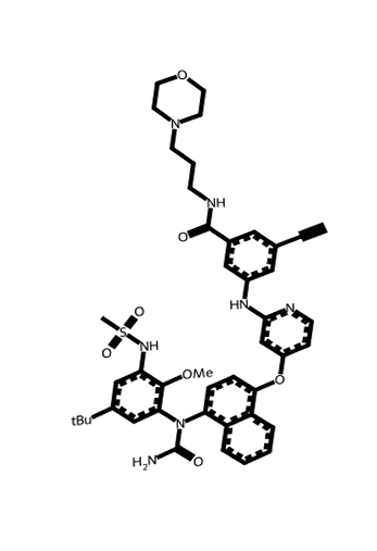 C#Cc1cc(Nc2cc(Oc3ccc(N(C(N)=O)c4cc(C(C)(C)C)cc(NS(C)(=O)=O)c4OC)c4ccccc34)ccn2)cc(C(=O)NCCCN2CCOCC2)c1